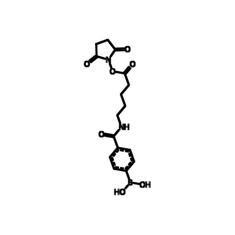 O=C(CCCCNC(=O)c1ccc(B(O)O)cc1)ON1C(=O)CCC1=O